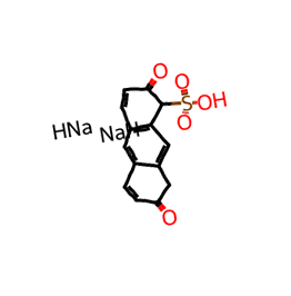 O=C1C=Cc2cc3c(cc2C1)C(S(=O)(=O)O)C(=O)C=C3.[NaH].[NaH]